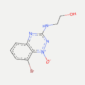 [O-][n+]1nc(NCCO)nc2cccc(Br)c21